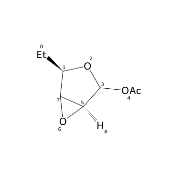 CC[C@H]1OC(OC(C)=O)[C@H]2OC21